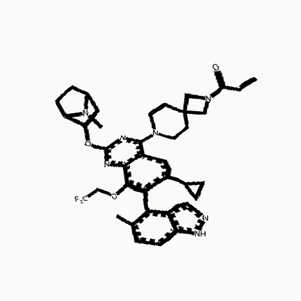 C=CC(=O)N1CC2(CCN(c3nc(OC4CC5CCC4N5C)nc4c(OCC(F)(F)F)c(-c5c(C)ccc6[nH]ncc56)c(C5CC5)cc34)CC2)C1